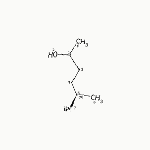 CC(O)CC[C@@H](C)C(C)C